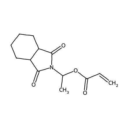 C=CC(=O)OC(C)N1C(=O)C2CCCCC2C1=O